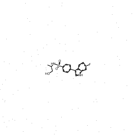 CC(CO)NS(=O)(=O)c1ccc(-c2c[nH]c3cc(F)ccc23)cc1